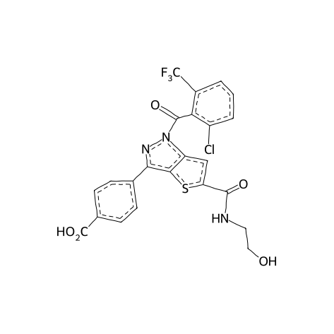 O=C(O)c1ccc(-c2nn(C(=O)c3c(Cl)cccc3C(F)(F)F)c3cc(C(=O)NCCO)sc23)cc1